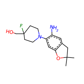 CC1(C)Cc2cc(N)c(N3CCC(F)(CO)CC3)cc2O1